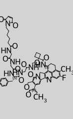 CC[C@H]1C(=O)OCc2c1cc1n(c2=O)Cc2c-1nc1cc(F)c(C)c3c1c2[C@@H](NC(=O)C1(OCNC(=O)CNC(=O)[C@H](Cc2ccccc2)NC(=O)CNC(=O)CNC(=O)CCCCCN2C(=O)C=CC2=O)CCC1)CC3